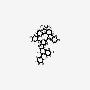 CC1(C)c2ccccc2-c2c1ccc1c3ccccc3n(-c3nc(-c4ccccc4)c4sc5cc(-c6ccccc6)c6ccccc6c5c4n3)c21